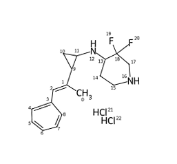 C/C(=C\c1ccccc1)C1CC1NC1CCNCC1(F)F.Cl.Cl